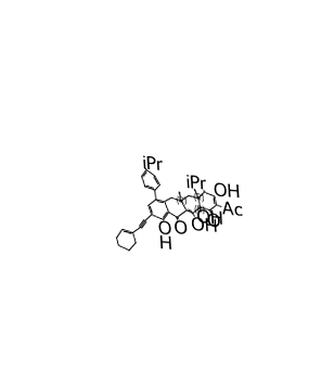 CC(=O)C1=C(O)C(C(C)C)[C@@]2(C)C[C@@]3(C)Cc4c(-c5ccc(C(C)C)cc5)cc(C#CC5=CCCCC5)c(O)c4C(=O)C3=C(O)[C@@]2(O)C1=O